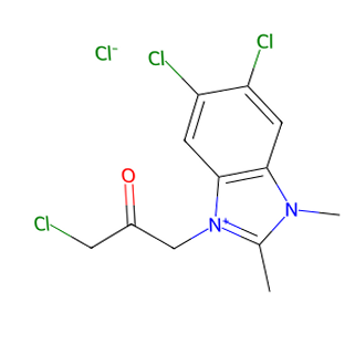 Cc1n(C)c2cc(Cl)c(Cl)cc2[n+]1CC(=O)CCl.[Cl-]